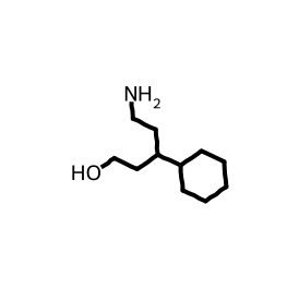 NCCC(CCO)C1CCCCC1